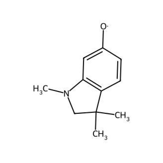 CN1CC(C)(C)c2ccc([O])cc21